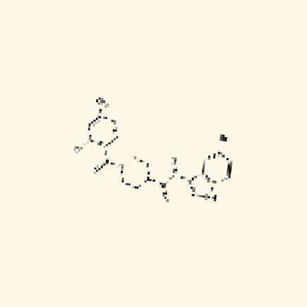 Cc1ccc(C(=O)N2CCN(C(=O)C(=O)c3c[nH]c4ccc(Br)cc34)CC2)c(Cl)c1